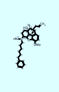 C=CCN1CC[C@]23c4c5ccc(OC)c4OC2C(N(CCCC)CCCCCCc2ccccc2)CC[C@@]3(O)[C@H]1C5